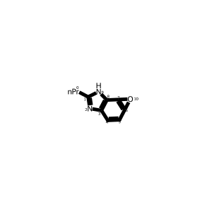 CCCc1nc2ccc3c(c2[nH]1)O3